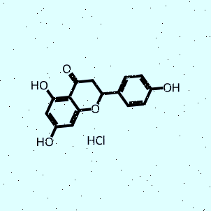 Cl.O=C1CC(c2ccc(O)cc2)Oc2cc(O)cc(O)c21